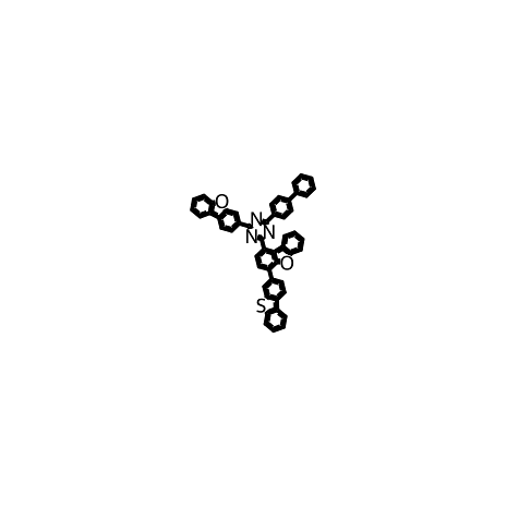 c1ccc(-c2ccc(-c3nc(-c4ccc5c(c4)oc4ccccc45)nc(-c4ccc(-c5ccc6c(c5)sc5ccccc56)c5oc6ccccc6c45)n3)cc2)cc1